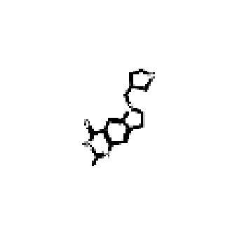 Cc1nc2cc3c(cc2c(=O)[nH]1)N(CC1CCOC1)CC3